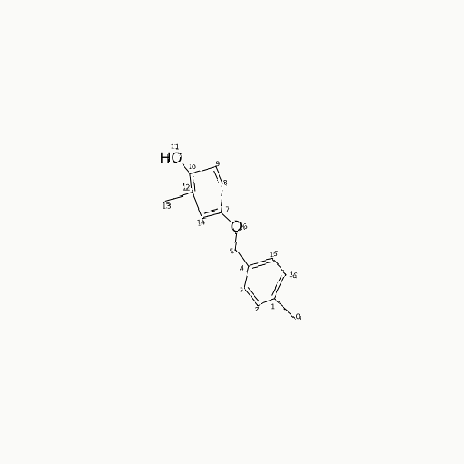 Cc1ccc(COc2ccc(O)c(C)c2)cc1